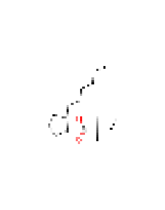 CCCCCCC1(OC(=O)C(C)(C)CC)CCCC1